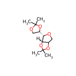 CC1(C)OCC([C@@H]2OCC3OC(C)(C)O[C@@H]32)O1